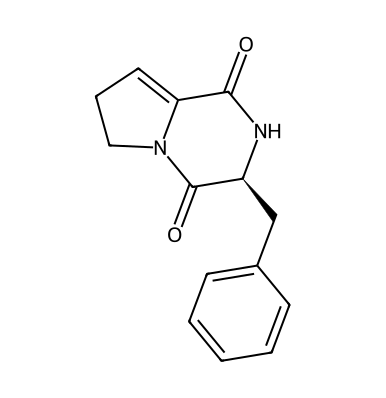 O=C1N[C@@H](Cc2ccccc2)C(=O)N2CCC=C12